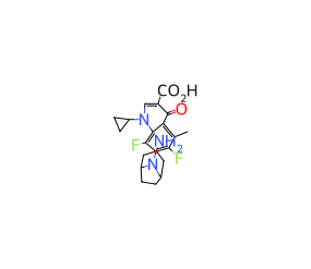 Cc1c(F)c(N2C3CCC2CC(N)C3)c(F)c2c1c(=O)c(C(=O)O)cn2C1CC1